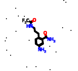 NC(=O)c1cc(N)ccc1CCCNC(=O)C(F)(F)F